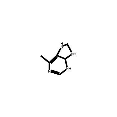 CC1=C2NCNC2NC=N1